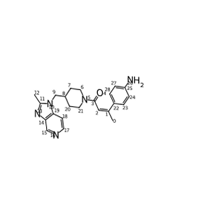 CC(=CC(=O)N1CCC(Cn2c(C)nc3cnccc32)CC1)c1ccc(N)cc1